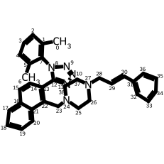 Cc1cccc(C)c1-n1nnnc1-c1ccc2ccccc2c1CN1CCN(CC=Cc2ccccc2)CC1